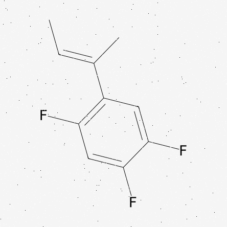 CC=C(C)c1cc(F)c(F)cc1F